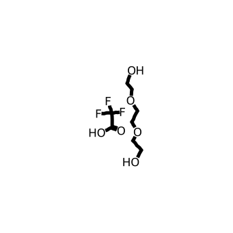 O=C(O)C(F)(F)F.OCCOCCOCCO